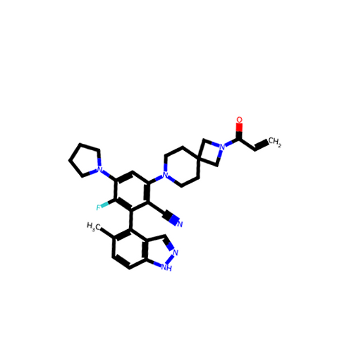 C=CC(=O)N1CC2(CCN(c3cc(N4CCCC4)c(F)c(-c4c(C)ccc5[nH]ncc45)c3C#N)CC2)C1